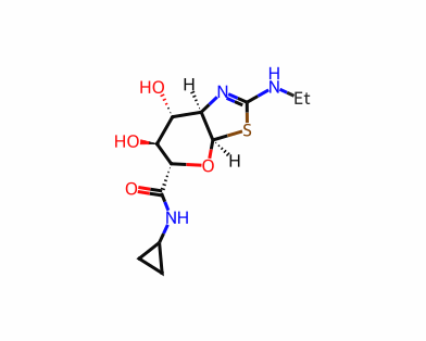 CCNC1=N[C@@H]2[C@@H](O)[C@H](O)[C@@H](C(=O)NC3CC3)O[C@@H]2S1